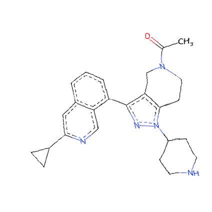 CC(=O)N1CCc2c(c(-c3cccc4cc(C5CC5)ncc34)nn2C2CCNCC2)C1